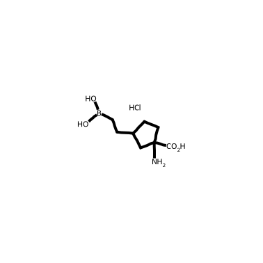 Cl.NC1(C(=O)O)CCC(CCB(O)O)C1